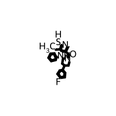 CCc1c(S)ncc(C(=O)N2CCC(c3ccc(F)cc3)CC2)c1Nc1ccccc1